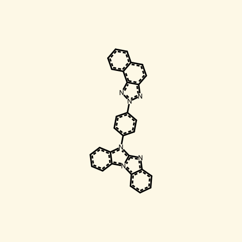 c1ccc2c(c1)ccc1nn(-c3ccc(-n4c5ccccc5n5c6ccccc6nc45)cc3)nc12